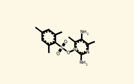 Cc1cc(C)c(S(=O)(=O)O[n+]2c(N)nc(C)c(N)c2C)c(C)c1